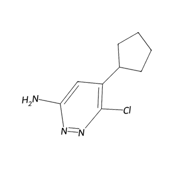 Nc1cc(C2CCCC2)c(Cl)nn1